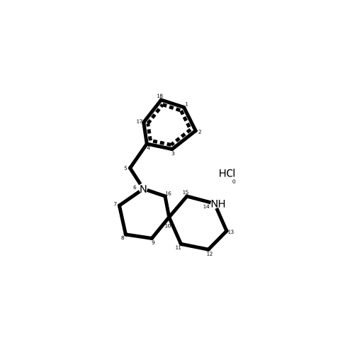 Cl.c1ccc(CN2CCCC3(CCCNC3)C2)cc1